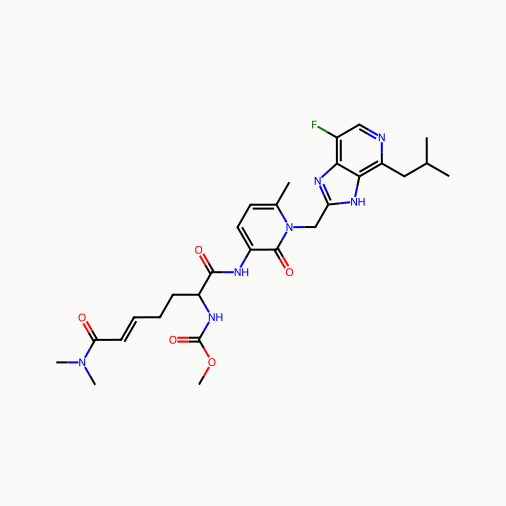 COC(=O)NC(CCC=CC(=O)N(C)C)C(=O)Nc1ccc(C)n(Cc2nc3c(F)cnc(CC(C)C)c3[nH]2)c1=O